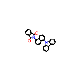 O=C1c2ccccc2C(=O)N1c1cccc2c(-n3c4ccccc4c4ccccc43)cccc12